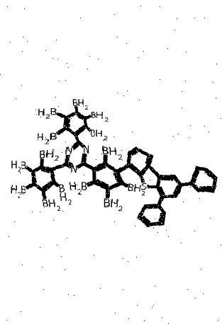 Bc1c(B)c(B)c(-c2nc(-c3c(B)c(B)c(B)c(B)c3B)nc(-c3c(B)c(B)c(B)c(-c4cccc5c4sc4c(-c6ccccc6)cc(-c6ccccc6)cc45)c3B)n2)c(B)c1B